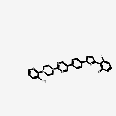 N#Cc1cccnc1N1CCN(c2ncc(-c3ccc(C4CCC(c5c(F)cccc5F)=N4)cc3)cn2)CC1